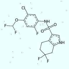 O=S(=O)(Nc1cc(Cl)c(OC(F)F)cc1F)c1c[nH]c2c1CCC(F)(F)C2